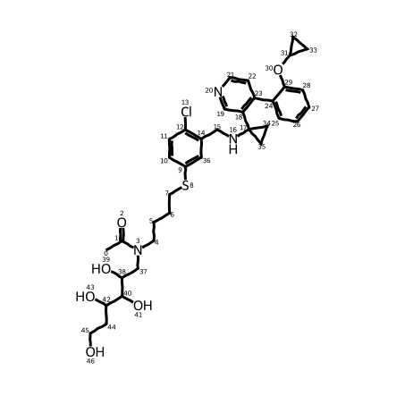 CC(=O)N(CCCCSc1ccc(Cl)c(CNC2(c3cnccc3-c3ccccc3OC3CC3)CC2)c1)CC(O)C(O)C(O)CCO